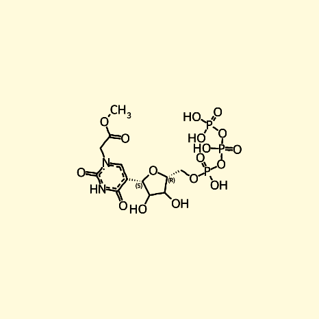 COC(=O)Cn1cc([C@@H]2O[C@H](COP(=O)(O)OP(=O)(O)OP(=O)(O)O)C(O)C2O)c(=O)[nH]c1=O